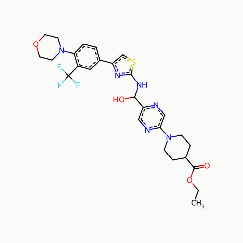 CCOC(=O)C1CCN(c2cnc(C(O)Nc3nc(-c4ccc(N5CCOCC5)c(C(F)(F)F)c4)cs3)cn2)CC1